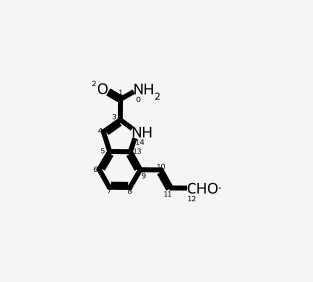 NC(=O)c1cc2cccc(C=C[C]=O)c2[nH]1